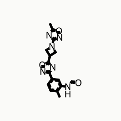 Cc1nc(N2CC(c3nc(-c4ccc(C)c(NC=O)c4)no3)C2)no1